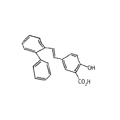 O=C(O)c1cc(C=Cc2ccccc2-c2ccccc2)ccc1O